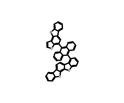 c1ccc2c(c1)oc1c3ccoc3c(-c3c4ccccc4c(-c4cccc5oc6c(ccc7c8ccccc8oc76)c45)c4ccccc34)cc21